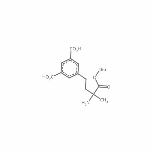 CC(C)(C)OC(=O)C(C)(N)CCc1cc(C(=O)O)cc(C(=O)O)c1